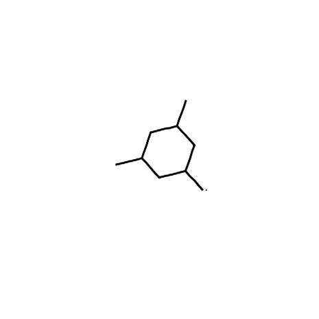 [CH2]C1CC(C)CC(C)C1